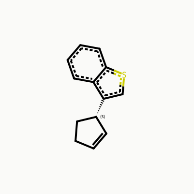 C1=C[C@@H](c2csc3ccccc23)CC1